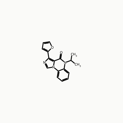 CC(C)n1c(=O)c2c(-c3ccco3)ncn2c2ccccc21